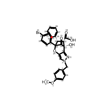 COc1ccc(Cn2cc3c(n2)[C@@]2(O)C(=O)C(c4ccc(Br)cc4)(O3)[C@H](c3ccccc3)[C@@H]2C(=O)O)cc1